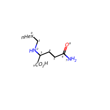 CCCCCCCNC(CCC(N)=O)C(=O)O